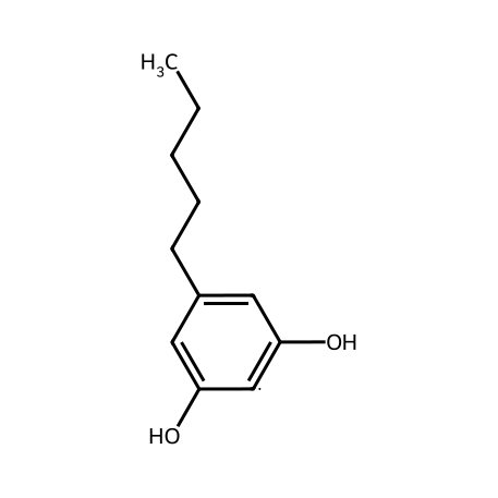 CCCCCc1cc(O)[c]c(O)c1